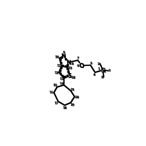 C[Si](C)(C)CCOCn1ncc2cc(C3CCCCCCC3)sc21